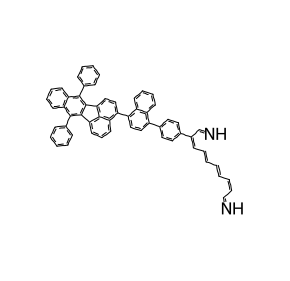 N=C\C=C/C=C/C=C/C=C(\C=N)c1ccc(-c2ccc(-c3ccc4c5c(cccc35)-c3c-4c(-c4ccccc4)c4ccccc4c3-c3ccccc3)c3ccccc23)cc1